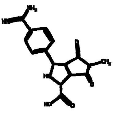 CN1C(=O)C2C(C(=O)O)NC(c3ccc(C(=N)N)cc3)C2C1=O